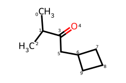 CC(C)C(=O)CC1CCC1